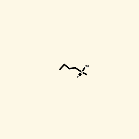 CCCCP(C)(=O)O